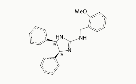 COc1ccccc1CNC1=N[C@@H](c2ccccc2)[C@@H](c2ccccc2)N1